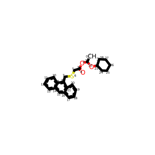 CC(OC(=O)CSCc1c2ccccc2cc2ccccc12)OC1CCCCC1